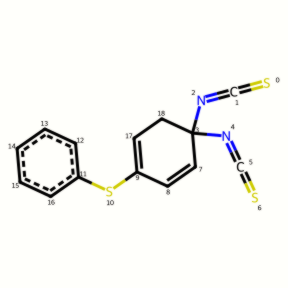 S=C=NC1(N=C=S)C=CC(Sc2ccccc2)=CC1